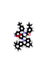 CC(C)(C)c1ccc(N2c3cc(C#N)cc4c3B(c3ccc5c6c3N4c3cc4c(cc3C6(C)CCC5(C)C)C(C)(C)CCC4(C)C)c3oc4ccc(C(C)(C)C)cc4c32)c(-c2ccccc2)c1